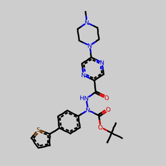 CN1CCN(c2cnc(C(=O)NN(C(=O)OC(C)(C)C)c3ccc(-c4cccs4)cc3)cn2)CC1